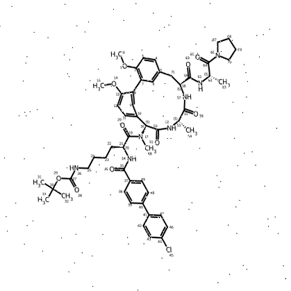 COc1ccc2cc1-c1cc(ccc1OC)[C@H](N(C)C(=O)[C@H](CCCCNC(=O)OC(C)(C)C)NC(=O)c1ccc(-c3ccc(Cl)cc3)cc1)C(=O)N[C@@H](C)C(=O)N[C@H](C(=O)N[C@@H](C)C(=O)N1CCCC1)C2